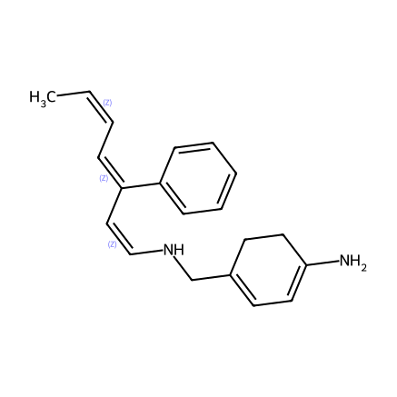 C\C=C/C=C(/C=C\NCC1=CC=C(N)CC1)c1ccccc1